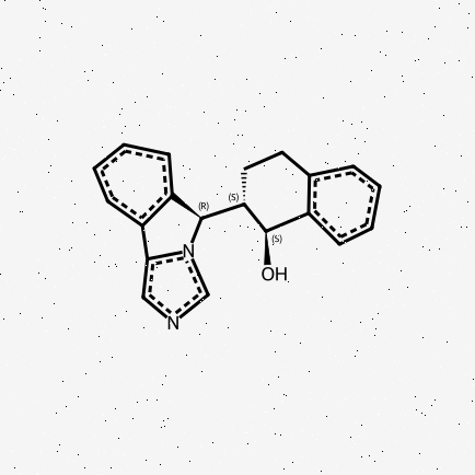 O[C@@H]1c2ccccc2CC[C@H]1[C@@H]1c2ccccc2-c2cncn21